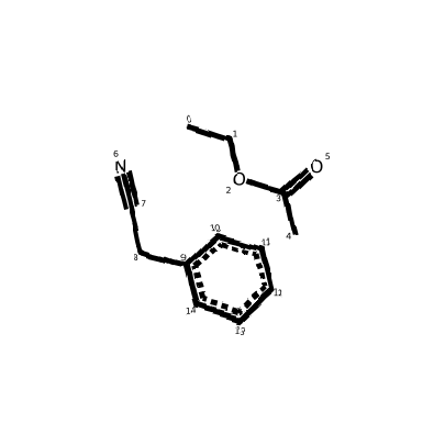 CCOC(C)=O.N#CCc1ccccc1